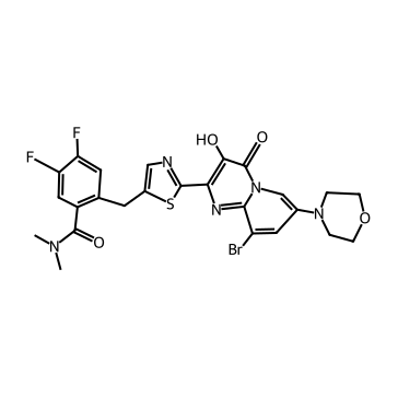 CN(C)C(=O)c1cc(F)c(F)cc1Cc1cnc(-c2nc3c(Br)cc(N4CCOCC4)cn3c(=O)c2O)s1